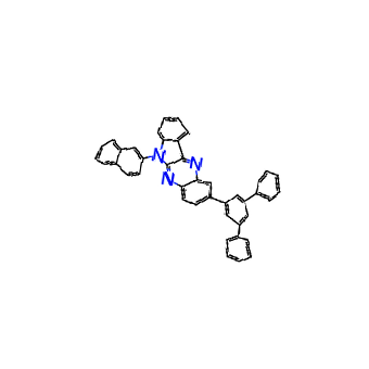 c1ccc(-c2cc(-c3ccccc3)cc(-c3ccc4nc5c(nc4c3)c3ccccc3n5-c3ccc4ccccc4c3)c2)cc1